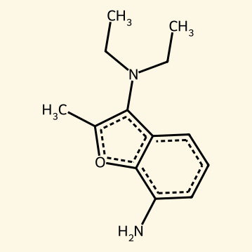 CCN(CC)c1c(C)oc2c(N)cccc12